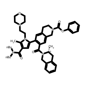 CCCCN(CCCC)C(=O)c1cc(-c2cc3c(cc2C(=O)N2Cc4ccccc4C[C@H]2C)CN(C(=O)Oc2ccccc2)CC3)n(CCN2CCOCC2)c1C